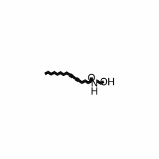 CCCCCCCCC#CC#CCCCC(=O)NCCO